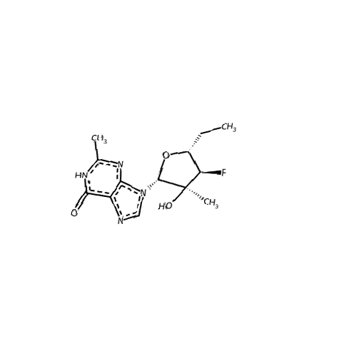 CC[C@H]1O[C@@H](n2cnc3c(=O)[nH]c(C)nc32)[C@](C)(O)[C@@H]1F